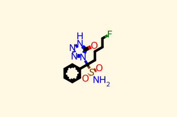 NS(=O)(=O)C(CCCCF)(c1ccccc1)n1nn[nH]c1=O